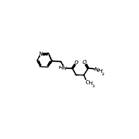 CC([CH]C(=O)NCc1cccnc1)C(N)=O